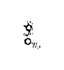 Cc1cnc(NC(=O)[C@H]2CCC[C@@H](NC(=O)O)C2)cc1I